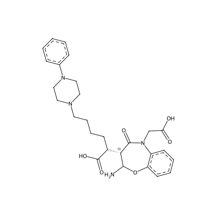 NC1Oc2ccccc2N(CC(=O)O)C(=O)[C@H]1C(CCCCN1CCN(c2ccccc2)CC1)C(=O)O